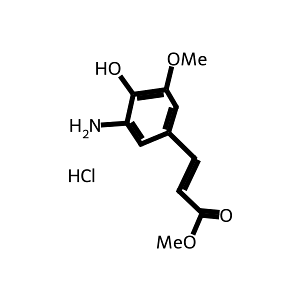 COC(=O)C=Cc1cc(N)c(O)c(OC)c1.Cl